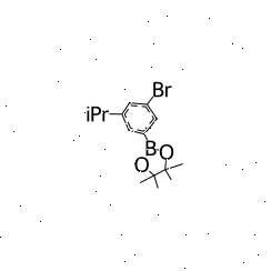 CC(C)c1cc(Br)cc(B2OC(C)(C)C(C)(C)O2)c1